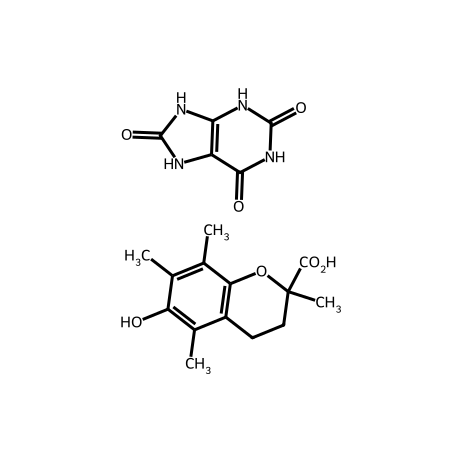 Cc1c(C)c2c(c(C)c1O)CCC(C)(C(=O)O)O2.O=c1[nH]c(=O)c2[nH]c(=O)[nH]c2[nH]1